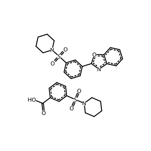 O=C(O)c1cccc(S(=O)(=O)N2CCCCC2)c1.O=S(=O)(c1cccc(-c2nc3ccccc3o2)c1)N1CCCCC1